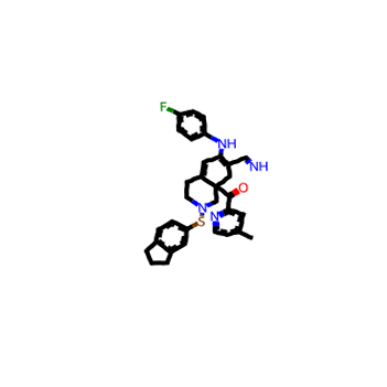 Cc1ccnc(C(=O)C23CC(C=N)=C(Nc4ccc(F)cc4)C=C2CCN(Sc2ccc4c(c2)CCC4)C3)c1